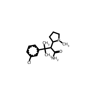 CN1CCCC1C(C(N)=O)C(C)(C)c1cccc(Cl)c1